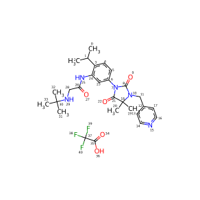 CC(C)c1ccc(N2C(=O)N(Cc3ccncc3)C(C)(C)C2=O)cc1NC(=O)CNC(C)(C)C.O=C(O)C(F)(F)F